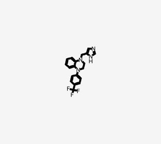 FC(F)(F)c1ccc(N2CCN(Cc3cnc[nH]3)c3ccccc32)cc1